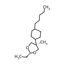 CCCCCC1CCC([C@]2(C)CO[C@H](CC)OC2)CC1